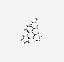 Clc1ccc2c(-c3ccccc3)c(-c3[c]cccc3)ccc2c1